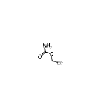 C[CH]COC(N)=O